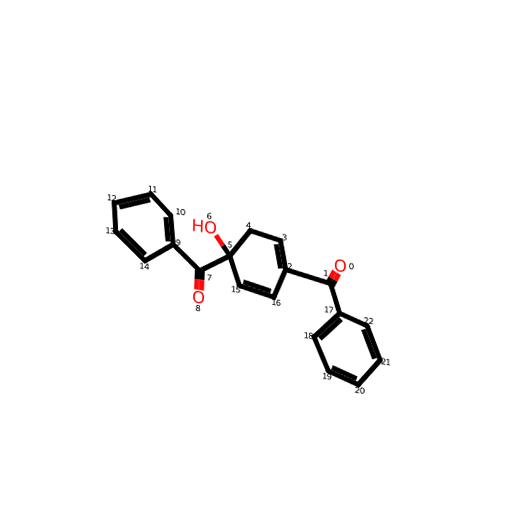 O=C(C1=CCC(O)(C(=O)c2ccccc2)C=C1)c1ccccc1